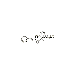 CCCC(OC(=O)C=Cc1ccccc1)C(C)(C)C(=O)OCC